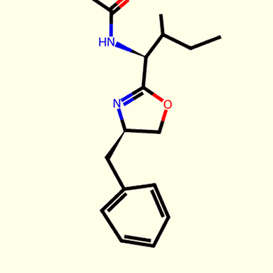 CCC(C)[C@H](NC(C)=O)C1=N[C@H](Cc2ccccc2)CO1